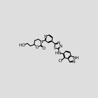 O=C1OC(CCO)CCN1c1cc(-c2nnc(Nc3ccc4[nH]ncc4c3Cl)s2)ccn1